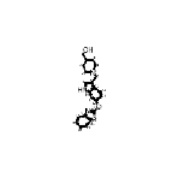 OCC1CCN(Cc2c[nH]c3cc(Oc4nc5ccccc5s4)ccc23)CC1